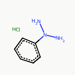 Cl.NN(N)c1ccccc1